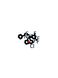 Fc1cc(C(F)(F)F)cc(C(Cc2ccccc2)(Nc2nc(-c3ccccc3)cs2)c2ccc(Cl)cn2)c1